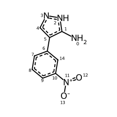 Nc1[nH]ncc1-c1cccc([N+](=O)[O-])c1